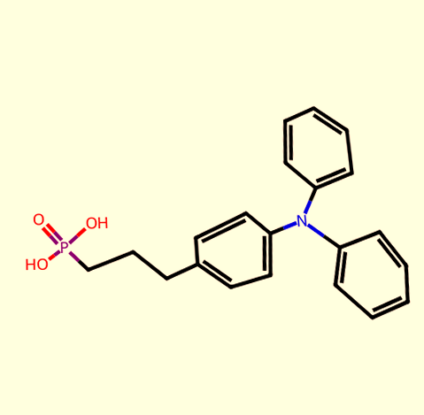 O=P(O)(O)CCCc1ccc(N(c2ccccc2)c2ccccc2)cc1